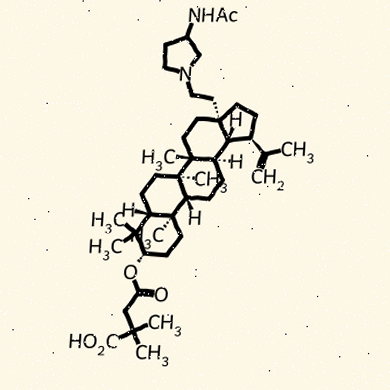 C=C(C)[C@@H]1CC[C@]2(CCN3CCC(NC(C)=O)C3)CC[C@]3(C)[C@H](CC[C@@H]4[C@@]5(C)CC[C@H](OC(=O)CC(C)(C)C(=O)O)C(C)(C)[C@@H]5CC[C@]43C)[C@@H]12